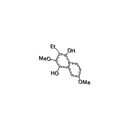 CCc1c(OC)c(O)c2cc(OC)ccc2c1O